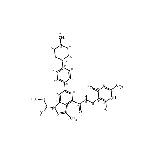 CCC(C)n1cc(C)c2c(C(=O)NCc3c(Cl)[nH]c(C)cc3=O)cc(-c3ccc(N4CCN(C)CC4)nc3)cc21